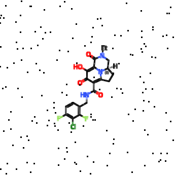 CCN1C[C@H]2CCc3c(C(=O)NCc4ccc(F)c(Cl)c4F)c(=O)c(O)c(n32)C1=O